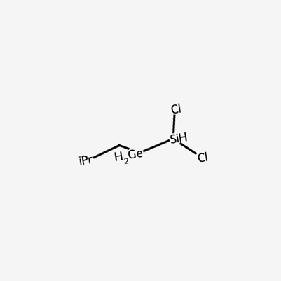 CC(C)[CH2][GeH2][SiH](Cl)Cl